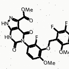 COC(=O)c1n[nH]c2[nH]c(=O)n(-c3ccc(OC)c(OCc4c(OC)ccc(F)c4F)c3F)c(=O)c12